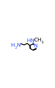 CNc1ncccc1CCCN